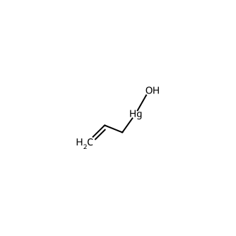 C=C[CH2][Hg][OH]